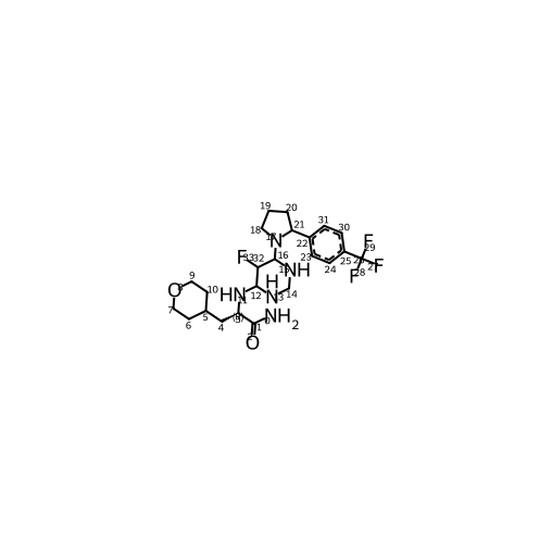 NC(=O)[C@@H](CC1CCOCC1)NC1NCNC(N2CCCC2c2ccc(C(F)(F)F)cc2)C1F